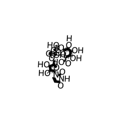 O=C(O)[C@H]1O[C@H](OP(=O)(O)OP(=O)(O)OC[C@H]2O[C@@H](n3ccc(=O)[nH]c3=O)[C@H](O)[C@@H]2O)[C@H](O)[C@@H](O)[C@H]1O